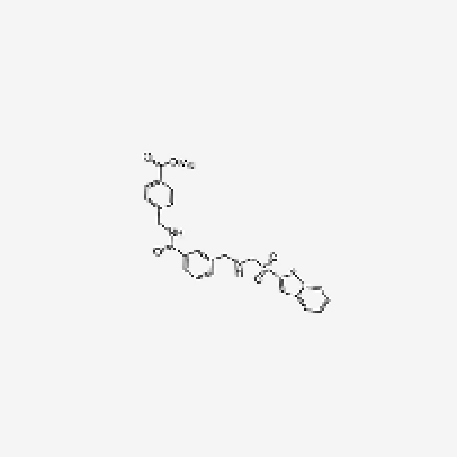 COC(=O)c1ccc(CNC(=O)c2cccc(CNCS(=O)(=O)c3cc4ccccc4s3)c2)cc1